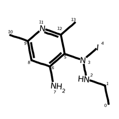 CCNN(I)c1c(N)cc(C)nc1C